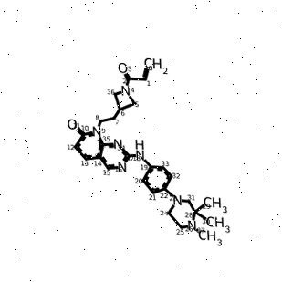 C=CC(=O)N1CC(CCn2c(=O)ccc3cnc(Nc4ccc(N5CCN(C)C(C)(C)C5)cc4)nc32)C1